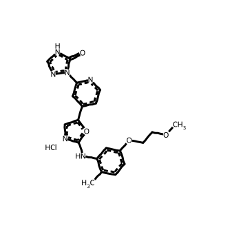 COCCOc1ccc(C)c(Nc2ncc(-c3ccnc(-n4nc[nH]c4=O)c3)o2)c1.Cl